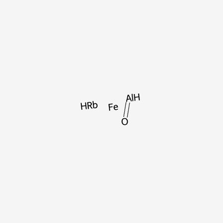 [Fe].[O]=[AlH].[RbH]